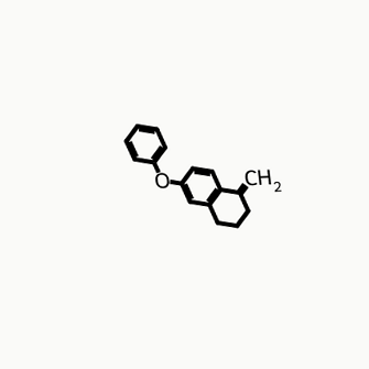 C=C1CCCc2cc(Oc3ccccc3)ccc21